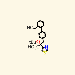 CC(C)(C)OC(Cc1ccc(-c2ccccc2CC#N)cc1)(C(=O)O)c1cscn1